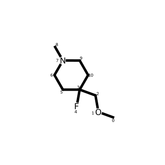 COCC1(F)CCN(C)CC1